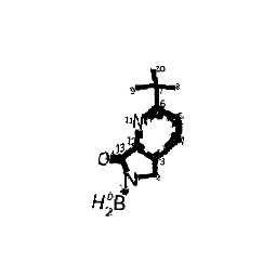 BN1Cc2ccc(C(C)(C)C)nc2C1=O